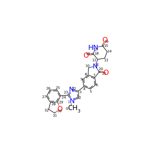 Cn1cc(-c2ccc3c(c2)CN(C2CCC(=O)NC2=O)C3=O)nc1-c1cccc2c1OCC2